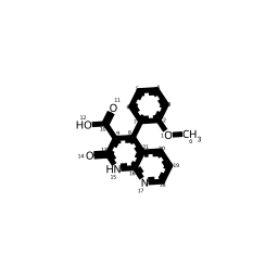 COc1ccccc1-c1c(C(=O)O)c(=O)[nH]c2ncccc12